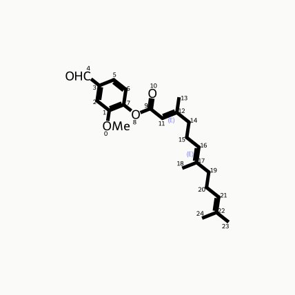 COc1cc(C=O)ccc1OC(=O)/C=C(\C)CC/C=C(\C)CCC=C(C)C